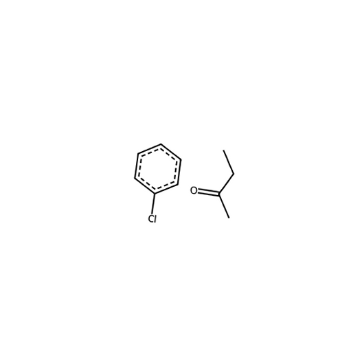 CCC(C)=O.Clc1ccccc1